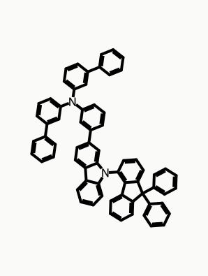 c1ccc(-c2cccc(N(c3cccc(-c4ccccc4)c3)c3cccc(-c4ccc5c6ccccc6n(-c6cccc7c6-c6ccccc6C7(c6ccccc6)c6ccccc6)c5c4)c3)c2)cc1